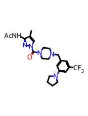 CC(=O)Nc1nn(C(=O)N2CCN(Cc3cc(N4CCCC4)cc(C(F)(F)F)c3)CC2)cc1C